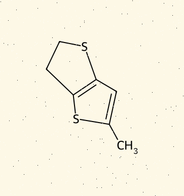 Cc1cc2c(s1)CCS2